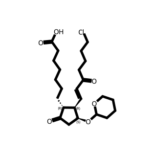 O=C(O)CCCCCC[C@H]1C(=O)C[C@H](OC2CCCCO2)[C@@H]1C=CC(=O)CCCCCl